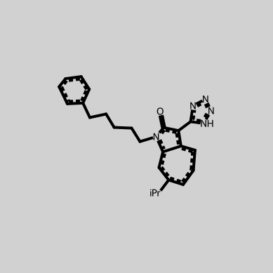 CC(C)c1cccc2c(-c3nnn[nH]3)c(=O)n(CCCCCc3ccccc3)c-2c1